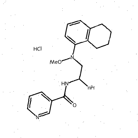 CCCC(CN(OC)c1cccc2c1CCCC2)NC(=O)c1cccnc1.Cl